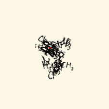 CN1/C(=C/C=C2\CCCC(/C=C/C3=[N+](C)c4ccc(Cl)cc4C3(C)C)=C2Sc2nc3ccccc3o2)C(C)(C)c2cc(Cl)ccc21